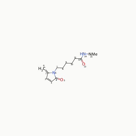 C=C1C=CC(=O)N1CCCCCC(=O)NNC